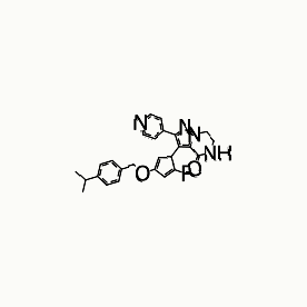 CC(C)c1ccc(COC2=CC(c3c(-c4ccncc4)nn4c3C(=O)NCC4)C(F)=C2)cc1